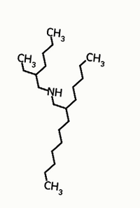 CCCCCCCC(CCCCC)CNCC(CC)CCCC